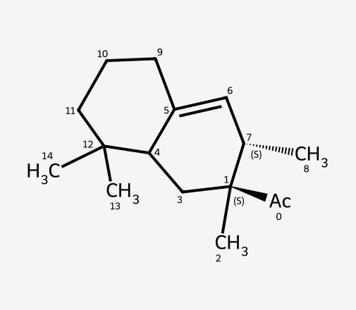 CC(=O)[C@@]1(C)CC2C(=C[C@@H]1C)CCCC2(C)C